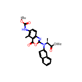 COC(=O)[C@H](C)N(c1ccc2ccccc2c1)c1nc2ccc(NC(=O)OC(C)(C)C)c(C)c2c(=O)o1